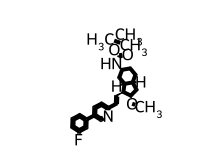 CO[C@H]1C[C@H]2CC[C@@H](NC(=O)OC(C)(C)C)C[C@H]2[C@@H]1/C=C/c1ccc(-c2cccc(F)c2)cn1